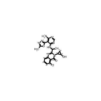 Cc1nnc(-c2c(N)ncnc2NC(C)c2nc3cccc(Cl)c3c(=O)n2C2CC2O)o1